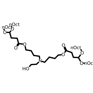 CCCCCCCCOC(CCC(=O)OCCCCN(CCO)CCCCOC(=O)CCC(OCCCCCCCC)OCCCCCCCC)OCCCCCCCC